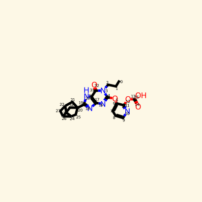 CCCn1c(Oc2cccnc2OC(=O)O)nc2nc(C34CC5CC(C3)C(C5)C4)[nH]c2c1=O